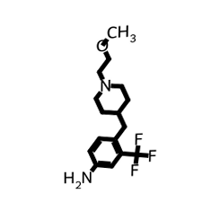 COCCN1CCC(Cc2ccc(N)cc2C(F)(F)F)CC1